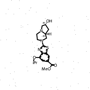 COC(=O)c1cc(OC(C)C)c2nc(N3CCN4C[C@H](O)C[C@@H]4C3)sc2c1